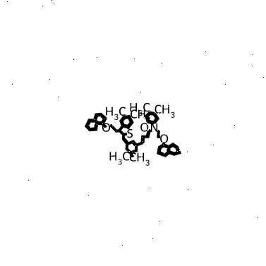 Cc1cc2c(cc1C)N(CCOc1cccc3ccccc13)C(=CC=CC1=CC(=CC3Sc4cc(C)c(C)cc4C3CCOc3cccc4ccccc34)CC(C)(C)C1)O2